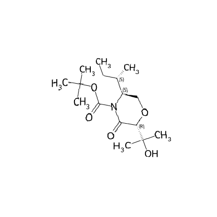 CC[C@H](C)[C@H]1CO[C@H](C(C)(C)O)C(=O)N1C(=O)OC(C)(C)C